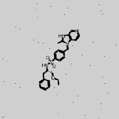 CCOC[C@H](Cc1ccccc1)NS(=O)(=O)c1ccc(CN2c3ccncc3NC2C)cc1